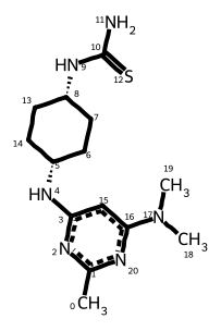 Cc1nc(N[C@H]2CC[C@@H](NC(N)=S)CC2)cc(N(C)C)n1